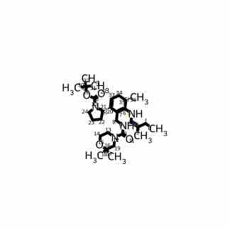 CC/C(C)=C\NC1=C(CNC(=O)N2CCOC(C)(C)C2)C([C@@H]2CCCN2C(=O)OC(C)(C)C)=CC[C@@H]1C